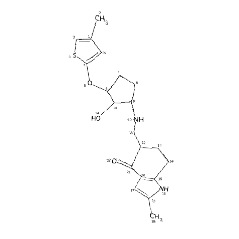 Cc1csc(OC2CCC(NCC3CCc4[nH]c(C)cc4C3=O)C2O)c1